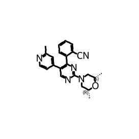 Cc1cc(-c2cnc(N3C[C@@H](C)O[C@@H](C)C3)nc2-c2ccccc2C#N)ccn1